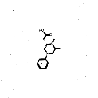 C[C@H]1CN(c2ccccc2)C[C@H](CC(=O)O)N1C